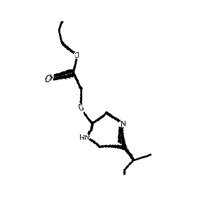 CCOC(=O)COC1CN=C(C(C)C)CN1